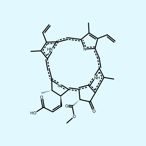 C=CC1=C(C)c2cc3[nH]c(cc4nc(c5c6[nH]c(cc1n2)c(C)c6C(=O)[C@@H]5C(=O)OC)[C@@H](/C=C\C(=O)O)[C@@H]4C)c(C)c3C=C